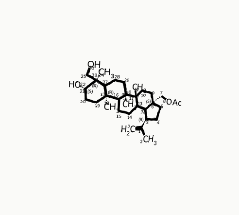 C=C(C)[C@@H]1CC[C@]2(COC(C)=O)CC[C@]3(C)C(CCC4[C@@]5(C)CC[C@H](O)[C@@](C)(CO)C5CC[C@]43C)C12